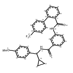 COc1ccc(C(NC(=O)c2cccc(NC(=O)c3ccccc3-c3ccc(C(F)(F)F)cc3)c2)C2CC2)cc1